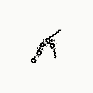 CCCCCCCCCCC(Oc1ccc(S(=O)(=O)c2ccc(OCc3ccccc3)cc2)cc1)C(=O)N(N)c1ccc(OCCCCC)cc1